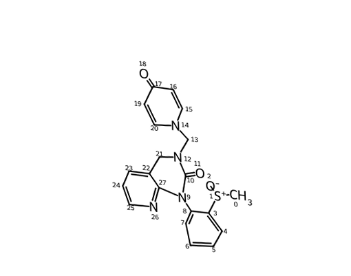 C[S+]([O-])c1ccccc1N1C(=O)N(Cn2ccc(=O)cc2)Cc2cccnc21